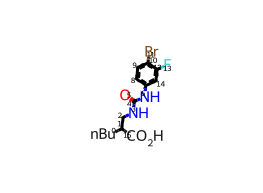 CCCCC(CNC(=O)Nc1ccc(Br)c(F)c1)C(=O)O